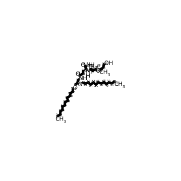 CCCCCCCCCCCCCCOCC(CNC(=O)CC[C@H](NC(=O)CCOC(C)(C)CCO)C(N)=O)OCCCCCCCCCCCCCC